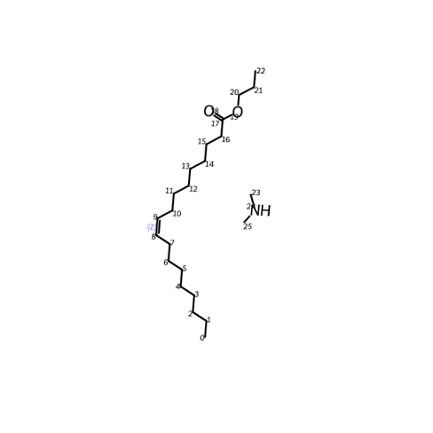 CCCCCCCC/C=C\CCCCCCCC(=O)OCCC.CNC